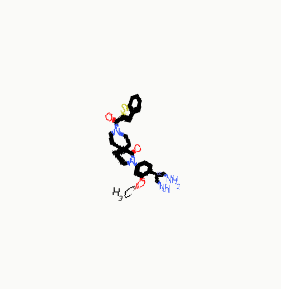 COc1cc(N2CCC3(CCN(C(=O)c4cc5ccccc5s4)CC3)C2=O)ccc1/C(C=N)=C/N